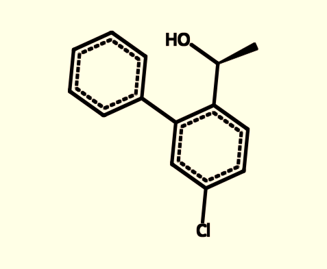 C[C@H](O)c1ccc(Cl)cc1-c1ccccc1